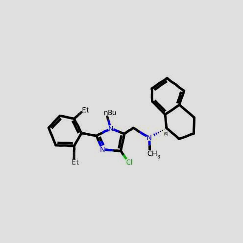 CCCCn1c(-c2c(CC)cccc2CC)nc(Cl)c1CN(C)[C@H]1CCCc2ccccc21